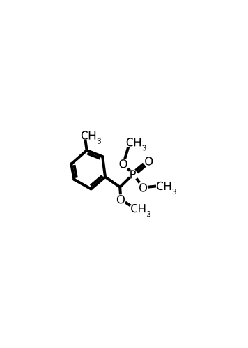 COC(c1cccc(C)c1)P(=O)(OC)OC